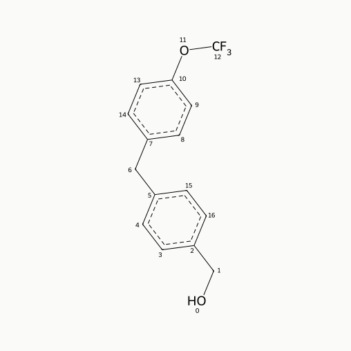 OCc1ccc(Cc2ccc(OC(F)(F)F)cc2)cc1